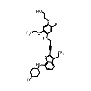 CCN1CCC(Nc2cccc3c(CC(F)(F)F)c(C#CCNc4cc(F)c(NCCO)cc4OCC(F)(F)F)sc23)CC1